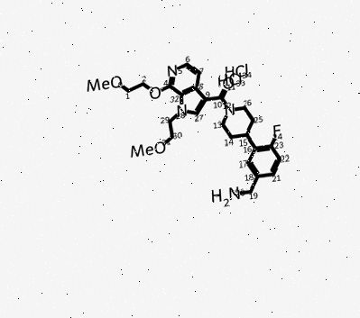 COCCOc1nccc2c(C(=O)N3CCC(c4cc(CN)ccc4F)CC3)cn(CCOC)c12.Cl.Cl